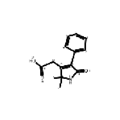 CC1(C)NC(=O)C(c2ccccc2)=C1CC(=O)O